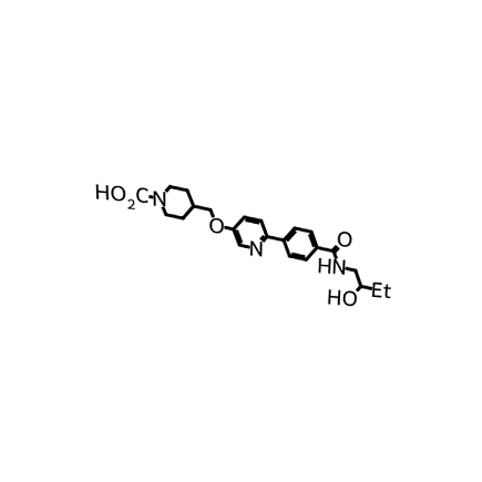 CCC(O)CNC(=O)c1ccc(-c2ccc(OCC3CCN(C(=O)O)CC3)cn2)cc1